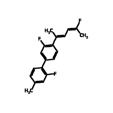 C/C(F)=C\C=C(/C)c1ccc(-c2ccc(C)cc2F)cc1F